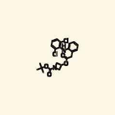 CC(C)(C)OC(=O)N1CC(OC(=O)Cc2ccccc2Nc2c(Cl)cccc2Cl)C1